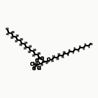 CCCCCCCCCCCCCCCCOCC(COP(=O)(Cl)Cl)OC(=O)CCCCCCCCCCCCCCC